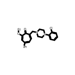 CCOc1cc(C(C)C)ccc(CN2CCN(c3ccccc3Cl)CC2)c1=O